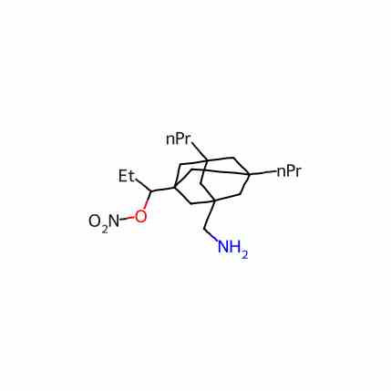 CCCC12CC3(CN)CC(CCC)(C1)CC(C(CC)O[N+](=O)[O-])(C3)C2